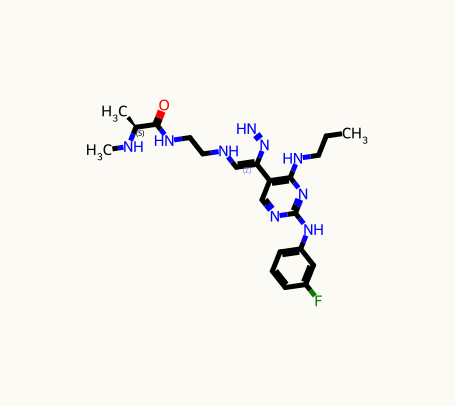 CCCNc1nc(Nc2cccc(F)c2)ncc1/C(=C/NCCNC(=O)[C@H](C)NC)N=N